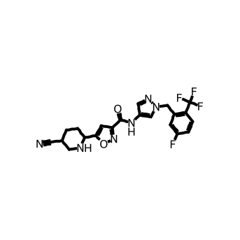 N#CC1CCC(c2cc(C(=O)Nc3cnn(Cc4cc(F)ccc4C(F)(F)F)c3)no2)NC1